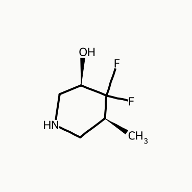 C[C@H]1CNC[C@@H](O)C1(F)F